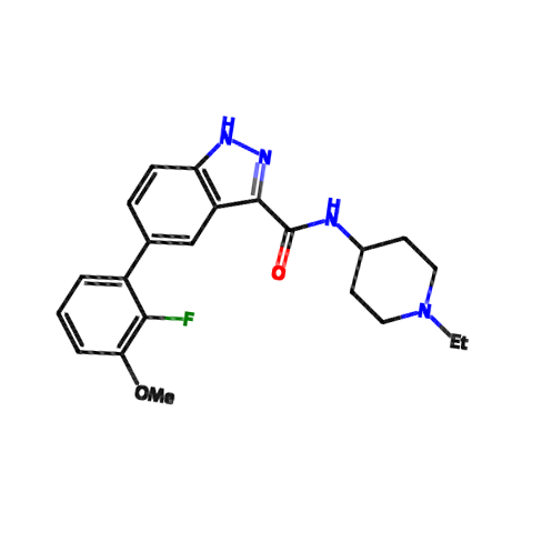 CCN1CCC(NC(=O)c2n[nH]c3ccc(-c4cccc(OC)c4F)cc23)CC1